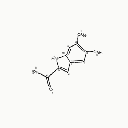 COc1cc2cc(C(=O)C(C)C)[nH]c2cc1OC